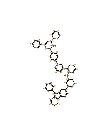 C1=CCC(C2C=C(c3ccccc3)N=C(c3ccc(-c4cccc(C5=C(NC6=CC(c7ccc8c9c(n(-c%10ccccc%10)c8c7)C=CCC9)=CCC6)C=CCC5)c4)cc3)N2)C=C1